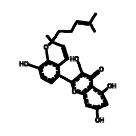 CC(C)=CCCC1(C)C=Cc2c(-c3oc4cc(O)cc(O)c4c(=O)c3O)ccc(O)c2O1